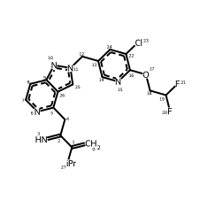 C=C(C(=N)Cc1nccc2nn(Cc3cnc(OCC(F)F)c(Cl)c3)cc12)C(C)C